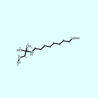 CCCCCCCCCCCCCCCCCCNC(C)(O)COCC